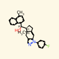 Cc1ccc([C@H](O)[C@H]2CCC3=Cc4c(cnn4-c4ccc(F)cc4)C[C@@]32C)c2ccccc12